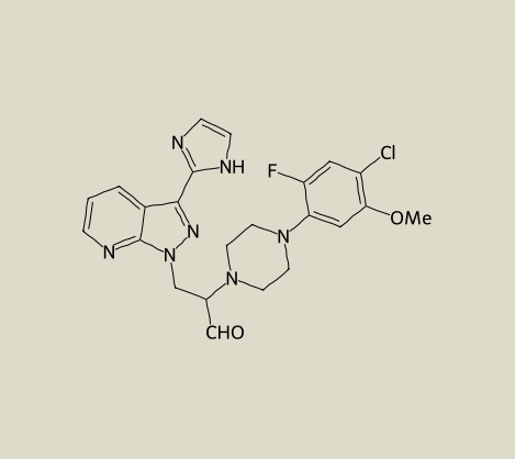 COc1cc(N2CCN(C(C=O)Cn3nc(-c4ncc[nH]4)c4cccnc43)CC2)c(F)cc1Cl